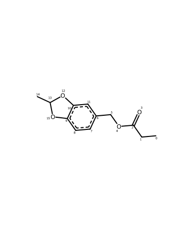 CCC(=O)OCc1ccc2c(c1)OC(C)O2